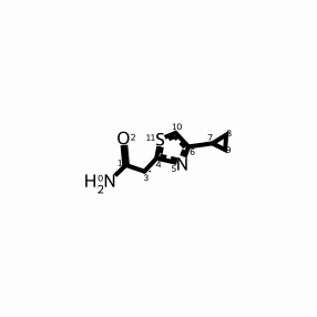 NC(=O)[CH]c1nc(C2CC2)cs1